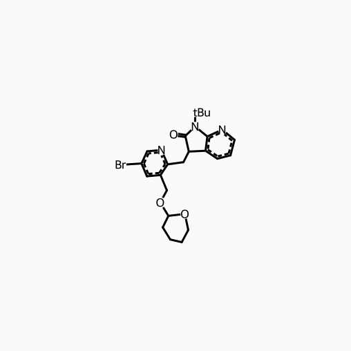 CC(C)(C)N1C(=O)C(Cc2ncc(Br)cc2COC2CCCCO2)c2cccnc21